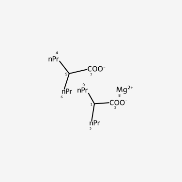 CCCC(CCC)C(=O)[O-].CCCC(CCC)C(=O)[O-].[Mg+2]